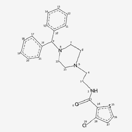 O=C(NCCN1CCN(C(c2ccccc2)c2ccccc2)CC1)c1sccc1Cl